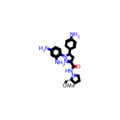 COC[C@H]1CCCN1NC(=O)C1=NN(c2ccc(N)cc2N)C(C2C=CC(N)=CC2)C1